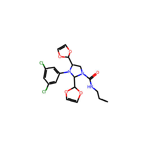 CCCNC(=O)N1CC(C2OC=CO2)N(c2cc(Cl)cc(Cl)c2)C1C1OC=CO1